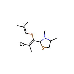 CC/C(C)=C(\SC=C(C)C)C1SCC(C)N1C